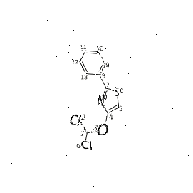 ClC(Cl)Oc1csc(-c2cc[c]cc2)n1